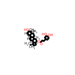 C=C(C)[C@@H]1CC[C@]2(COC(=O)C=Cc3ccc(O)c(O)c3)CC[C@]3(C)[C@H](CC[C@@H]4[C@@]5(C)CC[C@H](O)C(C)(C)[C@@H]5CC[C@]43C)[C@@H]12